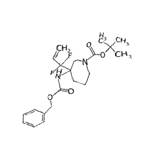 C=CC(F)(F)C1(NC(=O)OCc2ccccc2)CCCN(C(=O)OC(C)(C)C)C1